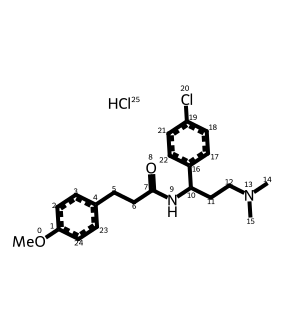 COc1ccc(CCC(=O)NC(CCN(C)C)c2ccc(Cl)cc2)cc1.Cl